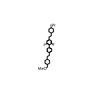 CCCC1CCC(CCc2cc(F)c(-c3ccc(CCC4CCC(COC)CC4)cc3)c(F)c2)CC1